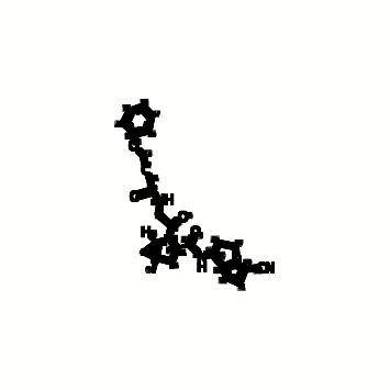 C[C@@]12C[C@@H]1N(C(=O)CNC(=O)CCCOc1ccccc1)[C@H](C(=O)N[C@H]1CCn3c(C#N)ccc31)C2